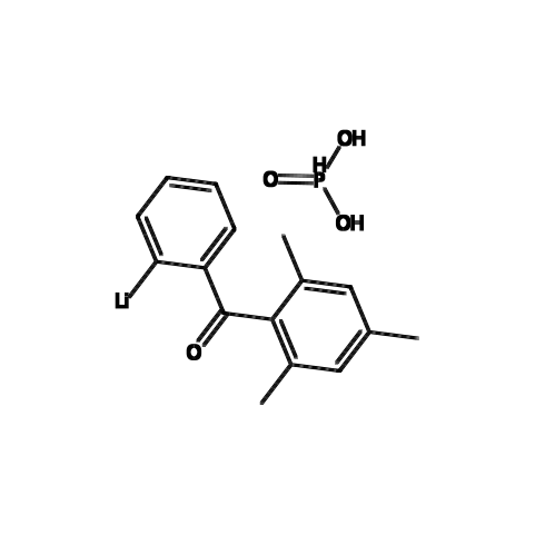 O=[PH](O)O.[Li][c]1ccccc1C(=O)c1c(C)cc(C)cc1C